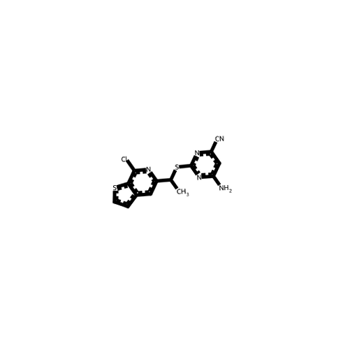 CC(Sc1nc(N)cc(C#N)n1)c1cc2ccsc2c(Cl)n1